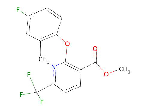 COC(=O)c1ccc(C(F)(F)F)nc1Oc1ccc(F)cc1C